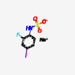 O=S(=O)([O-])Nc1ccc(I)cc1F.[Na+]